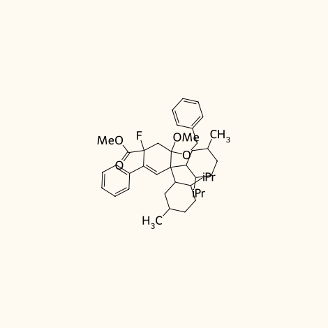 COC(=O)C1(F)CC(OC)(OCc2ccccc2)C(C2CC(C)CCC2C(C)C)(C2CC(C)CCC2C(C)C)C=C1c1ccccc1